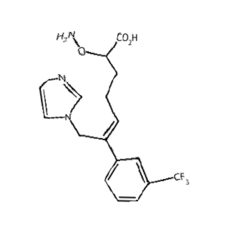 NOC(CCC=C(Cn1ccnc1)c1cccc(C(F)(F)F)c1)C(=O)O